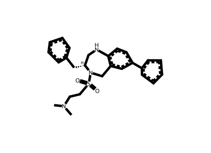 CN(C)CCS(=O)(=O)N1Cc2cc(-c3ccccc3)ccc2NC[C@H]1Cc1ccccc1